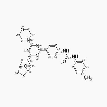 Cc1ccc(NC(=O)Nc2ccc(-c3nc(N4CCOCC4)nc(N4CC5CCC(C4)O5)n3)cc2)cc1